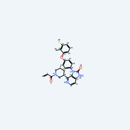 C=CC(=O)N1CCC[C@@H](c2nccc3[nH]c(=O)n(-c4ccc(Oc5cccc(F)c5C)cc4)c23)C1